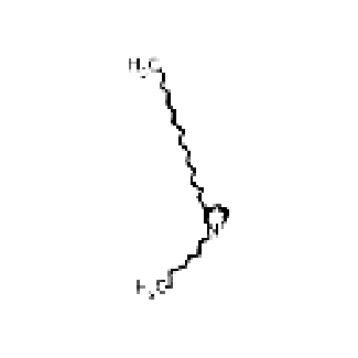 CCCCCCCCCCCCCCCc1ccc[n+](CCCCCCCC)c1